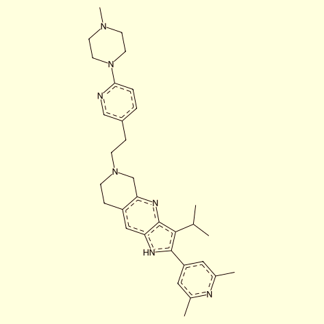 Cc1cc(-c2[nH]c3cc4c(nc3c2C(C)C)CN(CCc2ccc(N3CCN(C)CC3)nc2)CC4)cc(C)n1